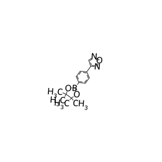 CC1(C)OB(c2ccc(-c3cnon3)cc2)OC1(C)C